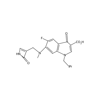 CC(C)Cn1cc(C(=O)O)c(=O)c2cc(F)c(N(C)CC3=CNC3=O)cc21